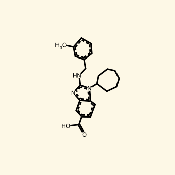 Cc1cccc(CNc2nc3cc(C(=O)O)ccc3n2C2CCCCCC2)c1